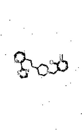 O=c1[nH]cccc1CN1CCC(CCc2cccnc2-c2nccs2)CC1